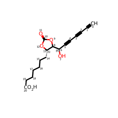 C#CC#CC#C[C@@H](O)C1OC(=O)O[C@H]1CCCCCCC(=O)O